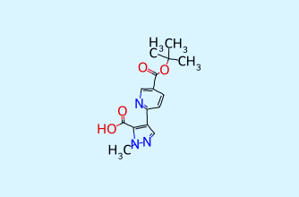 Cn1ncc(-c2ccc(C(=O)OC(C)(C)C)cn2)c1C(=O)O